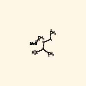 CCCC(C)C.CNC